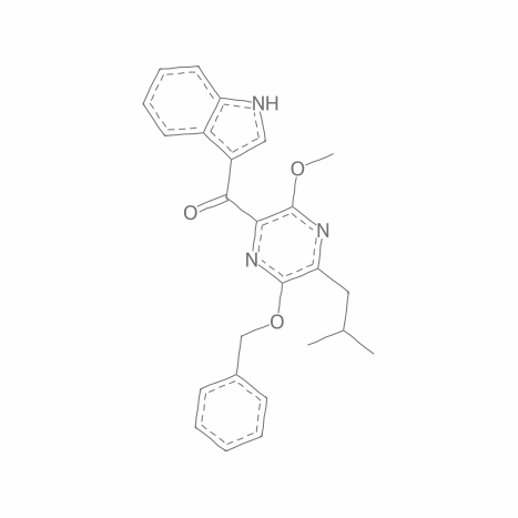 COc1nc(CC(C)C)c(OCc2ccccc2)nc1C(=O)c1c[nH]c2ccccc12